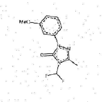 COc1cccc(-n2nc(C)n(C(F)F)c2=O)c1